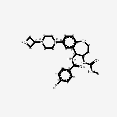 CNC(=O)OC1CCOc2ccc(N3CCN(C4COC4)CC3)cc2C1NC(=O)c1ccc(F)cc1